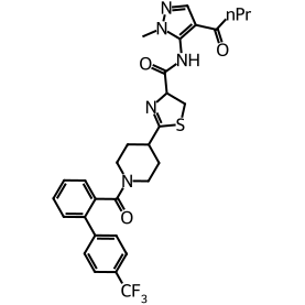 CCCC(=O)c1cnn(C)c1NC(=O)C1CSC(C2CCN(C(=O)c3ccccc3-c3ccc(C(F)(F)F)cc3)CC2)=N1